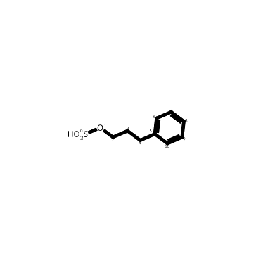 O=S(=O)(O)OCCCc1ccccc1